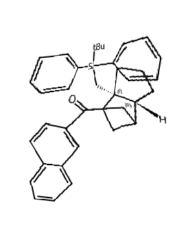 CC(C)(C)[Si](C[C@]12CCC[C@@H]1C1CC2(C(=O)c2ccc3ccccc3c2)C1)(c1ccccc1)c1ccccc1